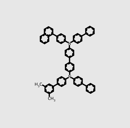 Cc1cc(C)cc(-c2ccc(N(c3ccc(-c4ccccc4)cc3)c3ccc(-c4ccc(N(c5ccc(-c6ccccc6)cc5)c5ccc(-c6cccc7ccccc67)cc5)cc4)cc3)cc2)c1